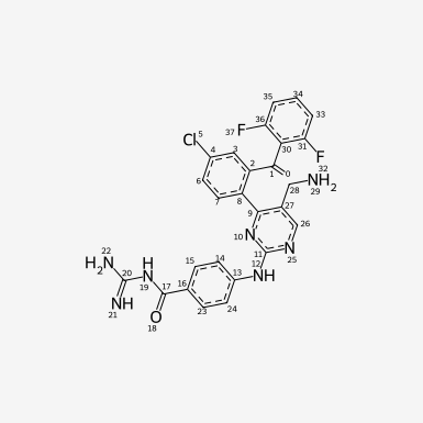 C=C(c1cc(Cl)ccc1-c1nc(Nc2ccc(C(=O)NC(=N)N)cc2)ncc1CN)c1c(F)cccc1F